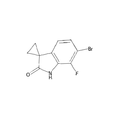 O=C1Nc2c(ccc(Br)c2F)C12CC2